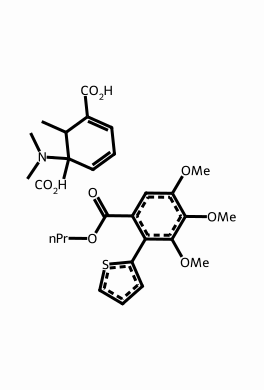 CC1C(C(=O)O)=CC=CC1(C(=O)O)N(C)C.CCCOC(=O)c1cc(OC)c(OC)c(OC)c1-c1cccs1